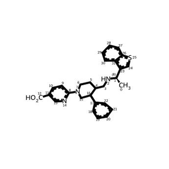 C[C@@H](NCC1CCN(c2ccc(C(=O)O)cn2)CC1c1ccccc1)c1csc2ccccc12